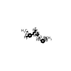 CCOc1cc(-c2cc(C(F)(F)F)n3ncc(OC(=O)Nc4cccc(S(C)(=O)=O)c4)c3n2)ccc1C(F)(F)F